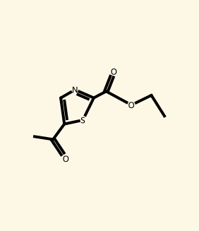 CCOC(=O)c1ncc(C(C)=O)s1